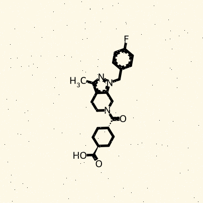 Cc1nn(Cc2ccc(F)cc2)c2c1CCN(C(=O)[C@H]1CC[C@H](C(=O)O)CC1)C2